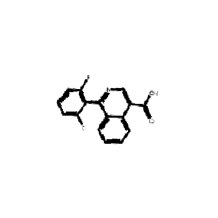 O=C(O)c1cnc(-c2c(F)cccc2Cl)c2ccccc12